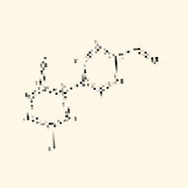 Cc1ccc(=O)n(-c2ccc(C=O)cc2)c1